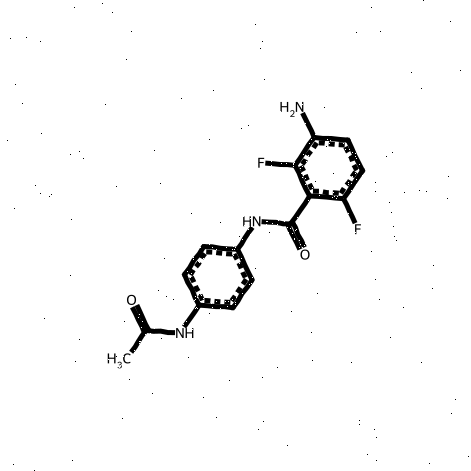 CC(=O)Nc1ccc(NC(=O)c2c(F)ccc(N)c2F)cc1